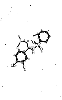 Cc1ccccc1S(=O)(=O)NC(CN(C)C)c1ccc(Cl)c(Cl)c1